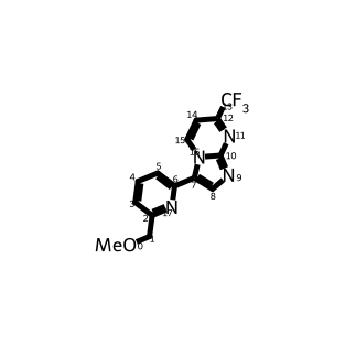 COCc1cccc(-c2cnc3nc(C(F)(F)F)ccn23)n1